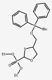 CCOP(=O)(OCC)C1OCC(CO[Si](c2ccccc2)(c2ccccc2)C(C)(C)C)S1